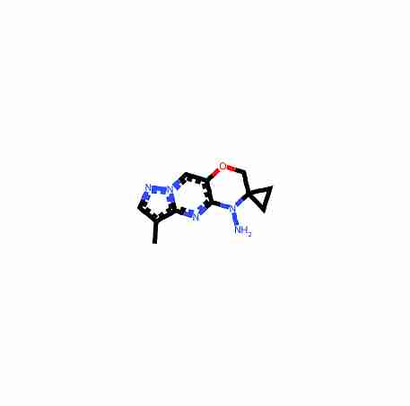 Cc1cnn2cc3c(nc12)N(N)C1(CC1)CO3